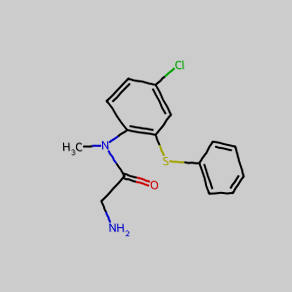 CN(C(=O)CN)c1ccc(Cl)cc1Sc1ccccc1